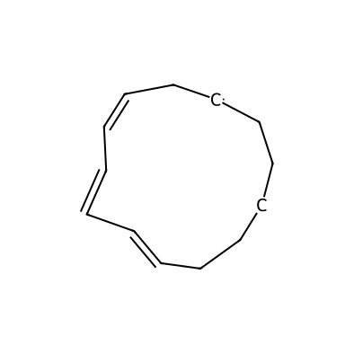 [CH]1C\C=C/C=C/C=C/CCCCC1